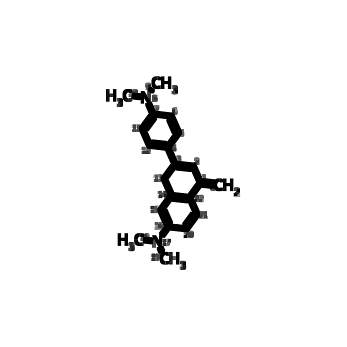 C=C1C=C(c2ccc(N(C)C)cc2)Cc2cc(N(C)C)ccc21